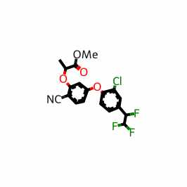 COC(=O)C(C)Oc1cc(Oc2ccc(C(F)C(F)F)cc2Cl)ccc1C#N